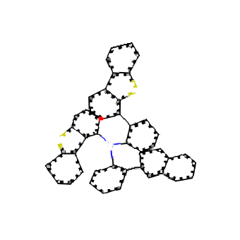 c1ccc(N(c2ccccc2-c2cccc3c2sc2ccccc23)c2cccc3sc4ccccc4c23)c(-c2ccc3ccccc3c2)c1